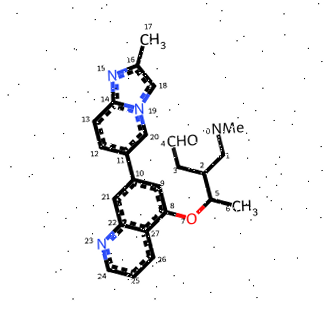 CNCC(CC=O)C(C)Oc1cc(-c2ccc3nc(C)cn3c2)cc2ncccc12